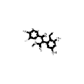 CCc1c(O)cc(O)cc1C(C(=O)OC)C(=O)c1ccc(F)c(F)c1